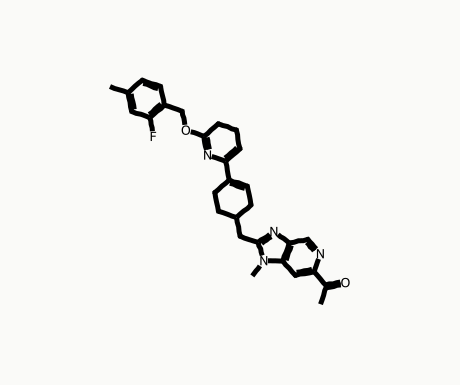 CC(=O)c1cc2c(cn1)nc(CC1CC=C(C3=CCCC(OCc4ccc(C)cc4F)=N3)CC1)n2C